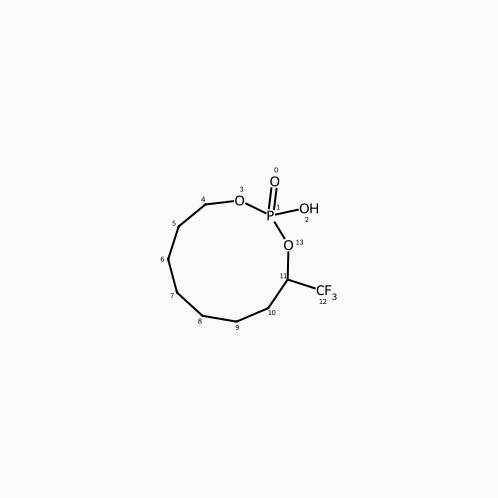 O=P1(O)OCCCCCCCC(C(F)(F)F)O1